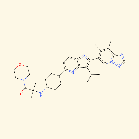 Cc1c(-c2[nH]c3ccc(C4CCC(NC(C)(C)C(=O)N5CCOCC5)CC4)nc3c2C(C)C)cn2ncnc2c1C